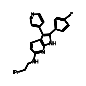 CC(C)CCNc1ccc2c(-c3ccncc3)c(-c3ccc(F)cc3)[nH]c2n1